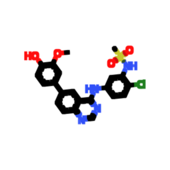 COc1cc(-c2ccc3ncnc(Nc4ccc(Cl)c(NS(C)(=O)=O)c4)c3c2)ccc1O